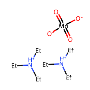 CC[NH+](CC)CC.CC[NH+](CC)CC.[O]=[Mo](=[O])([O-])[O-]